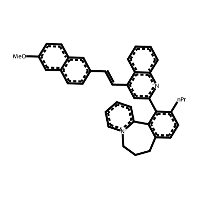 CCCc1ccc2c(c1-c1cc(/C=C/c3ccc4cc(OC)ccc4c3)c3ccccc3n1)-c1cccc[n+]1CCC2